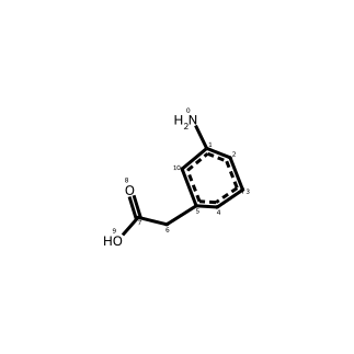 Nc1c[c]cc(CC(=O)O)c1